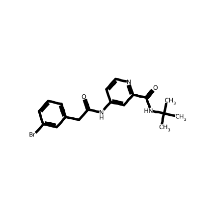 CC(C)(C)NC(=O)c1cc(NC(=O)Cc2cccc(Br)c2)ccn1